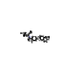 N#C/C(NN)=C(/N)c1ccc(-c2ccc3c(c2)OCCN3)cc1